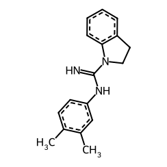 Cc1ccc(NC(=N)N2CCc3ccccc32)cc1C